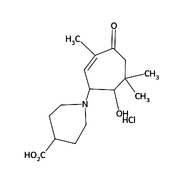 CC1=CC(N2CCC(C(=O)O)CC2)C(O)C(C)(C)CC1=O.Cl